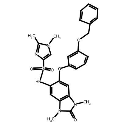 Cc1nc(S(=O)(=O)Nc2cc3c(cc2Oc2cccc(OCc4ccccc4)c2)n(C)c(=O)n3C)cn1C